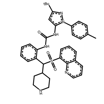 Cc1ccc(-n2nc(C(C)(C)C)cc2NC(=O)Nc2ccccc2C(C2CCNCC2)S(=O)(=O)c2cccc3cccnc23)cc1